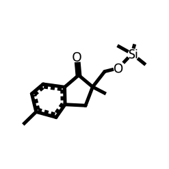 Cc1ccc2c(c1)CC(C)(CO[Si](C)(C)C)C2=O